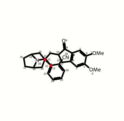 COc1cc2c(cc1OC)C(=O)C(CC1(F)CC3CCC(C1)N3Cc1ccccc1C#N)C2